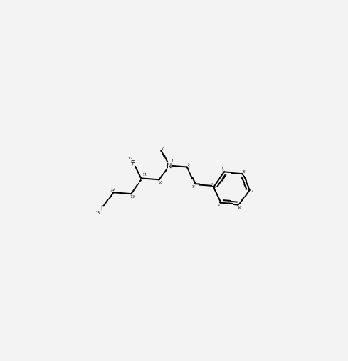 CN(CCc1ccccc1)CC(F)CCI